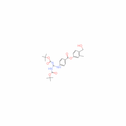 Cc1cc(OC(=O)c2ccc(NC(=NC(=O)OC(C)(C)C)NC(=O)OC(C)(C)C)cc2)ccc1CO